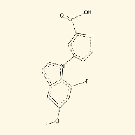 COc1cc(F)c2c(ccn2-c2cccc(C(=O)O)c2)c1